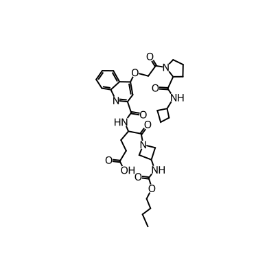 CCCCOC(=O)NC1CN(C(=O)C(CCC(=O)O)NC(=O)c2cc(OCC(=O)N3CCCC3C(=O)NC3CCC3)c3ccccc3n2)C1